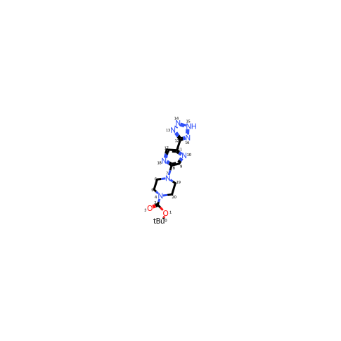 CC(C)(C)OC(=O)N1CCN(c2cnc(-c3nn[nH]n3)cn2)CC1